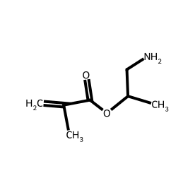 C=C(C)C(=O)OC(C)CN